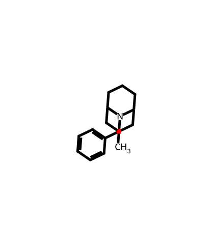 CC1CC2CCCC(C1)N2Cc1ccccc1